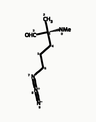 CN[C@@](C)(C=O)CCCN=[N+]=[N-]